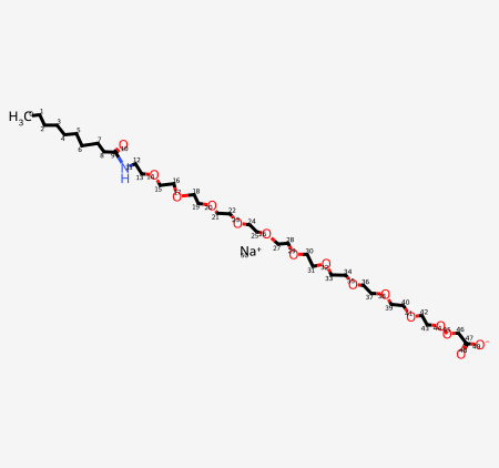 CCCCCCCCCC(=O)NCCOCCOCCOCCOCCOCCOCCOCCOCCOCCOCCOOCC(=O)[O-].[Na+]